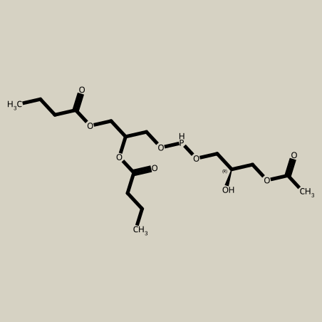 CCCC(=O)OCC(COPOC[C@H](O)COC(C)=O)OC(=O)CCC